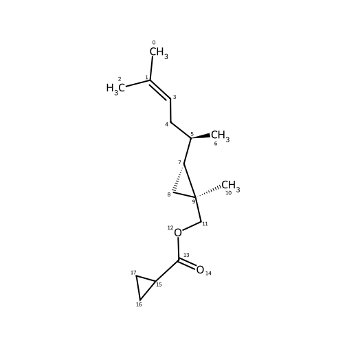 CC(C)=CC[C@@H](C)[C@H]1C[C@]1(C)COC(=O)C1CC1